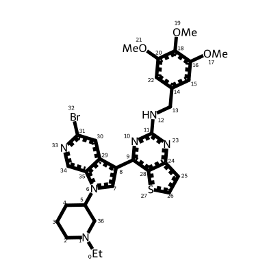 CCN1CCCC(n2cc(-c3nc(NCc4cc(OC)c(OC)c(OC)c4)nc4ccsc34)c3cc(Br)ncc32)C1